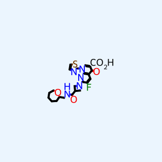 O=C(O)c1cn(-c2nccs2)c2nc(N3CC(C(=O)NCC4CCCCCO4)C3)c(F)cc2c1=O